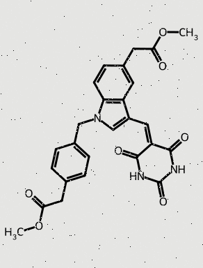 COC(=O)Cc1ccc(Cn2cc(C=C3C(=O)NC(=O)NC3=O)c3cc(CC(=O)OC)ccc32)cc1